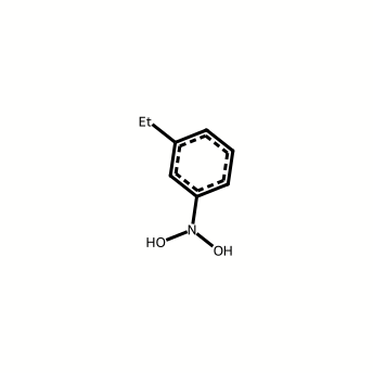 CCc1cccc(N(O)O)c1